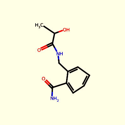 CC(O)C(=O)NCc1ccccc1C(N)=O